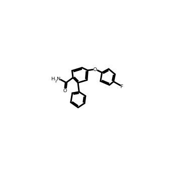 NC(=O)c1ccc(Oc2ccc(F)cc2)cc1-c1ccccc1